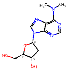 CN(C)c1ncnc2c1ncn2[C@H]1C[C@H](O)[C@@H](CO)O1